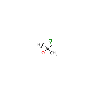 C[Si](C)([O])CCl